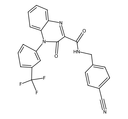 N#Cc1ccc(CNC(=O)c2nc3ccccc3n(-c3cccc(C(F)(F)F)c3)c2=O)cc1